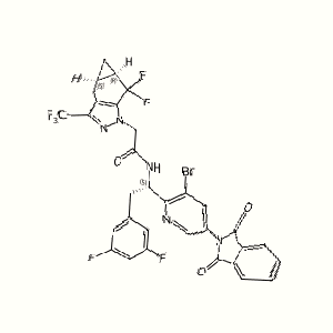 O=C(Cn1nc(C(F)(F)F)c2c1C(F)(F)[C@@H]1C[C@H]21)N[C@@H](Cc1cc(F)cc(F)c1)c1ncc(N2C(=O)c3ccccc3C2=O)cc1Br